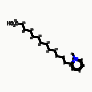 C[n+]1ccccc1CCCCCCCCCCCCC(=O)O